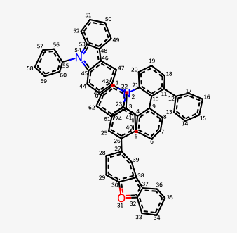 c1ccc(-c2ccccc2-c2c(-c3ccccc3)cccc2N(c2ccc(-c3ccc4oc5ccccc5c4c3)cc2)c2ccc3c(c2)c2ccccc2n3-c2ccccc2)cc1